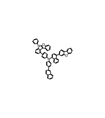 c1ccc(-n2c3cccc(-c4ccc(N(c5ccc(-c6ccc7ccccc7c6)cc5)c5ccc(-c6ccc7c(c6)oc6ccccc67)c6ccccc56)cc4)c3c3c4ccccc4oc32)cc1